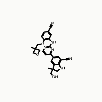 CC1(COc2ccc(C#N)cc2Nc2nccc(-c3cc(C#N)c4c(c3)C(C)(CO)CN4)n2)COC1